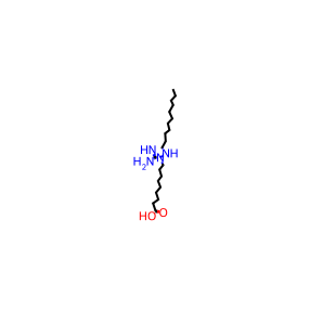 CCCCCCCCCCCNN(CCCCCCCCC(=O)O)C(=N)N